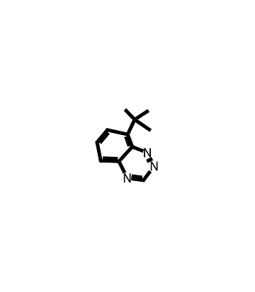 CC(C)(C)c1cccc2ncnnc12